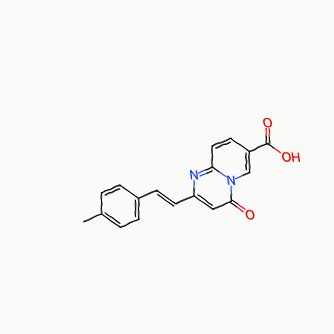 Cc1ccc(C=Cc2cc(=O)n3cc(C(=O)O)ccc3n2)cc1